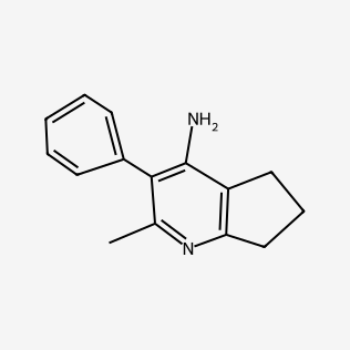 Cc1nc2c(c(N)c1-c1ccccc1)CCC2